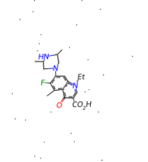 CCn1cc(C(=O)O)c(=O)c2c(C)c(F)c(N3CC(C)NC(C)C3)cc21